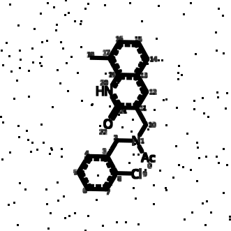 CC(=O)N(Cc1ccccc1Cl)Cc1cc2cccc(C)c2[nH]c1=O